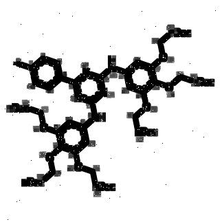 [CH2]c1ccc(-c2nc(Nc3cc(OCCCCCCCCCCC)c(OCCCCCCCCCCC)c(OCCCCCCCCCCC)c3)nc(Nc3cc(OCCCCCCCCCCC)c(OCCCCCCCCCCC)c(OCCCCCCCCCCC)c3)n2)cc1